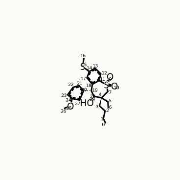 CCCC[C@]1(CC)CS(=O)(=O)c2ccc(SC)cc2[C@@H](c2cccc(OC)c2)[C@H]1O